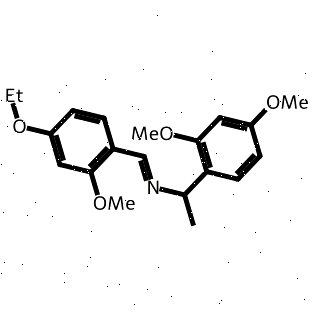 CCOc1ccc(C=NC(C)c2ccc(OC)cc2OC)c(OC)c1